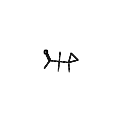 CC(=O)C(C)(C)C1(C)CC1